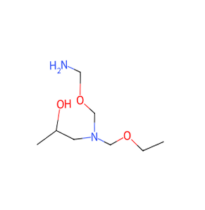 CCOCN(COCN)CC(C)O